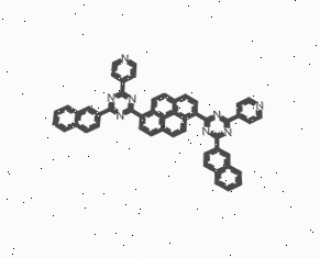 c1ccc2cc(-c3nc(-c4ccncc4)nc(-c4ccc5ccc6c(-c7nc(-c8ccncc8)nc(-c8ccc9ccccc9c8)n7)ccc7ccc4c5c76)n3)ccc2c1